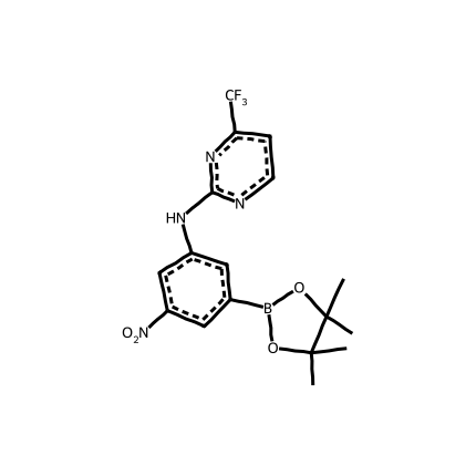 CC1(C)OB(c2cc(Nc3nccc(C(F)(F)F)n3)cc([N+](=O)[O-])c2)OC1(C)C